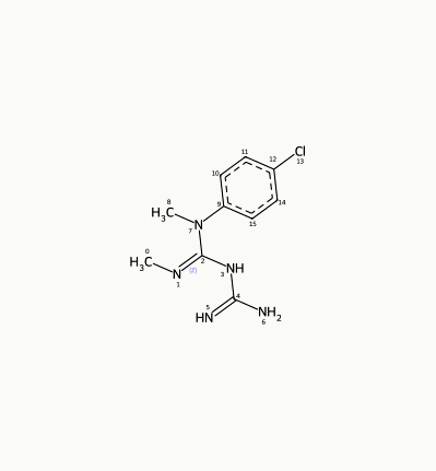 C/N=C(/NC(=N)N)N(C)c1ccc(Cl)cc1